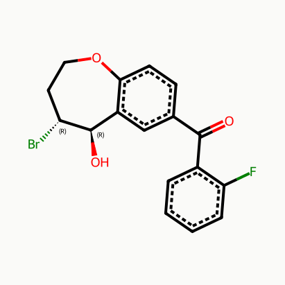 O=C(c1ccc2c(c1)[C@@H](O)[C@H](Br)CCO2)c1ccccc1F